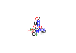 C=CC(=O)N1CCN2C(=O)c3c(N4CCN5CCC[C@H]5C4)nc(-c4c(O)cccc4F)c(Cl)c3OC[C@H]2C1